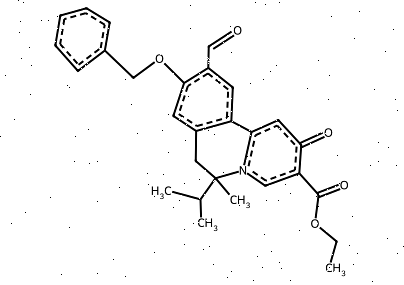 CCOC(=O)c1cn2c(cc1=O)-c1cc(C=O)c(OCc3ccccc3)cc1CC2(C)C(C)C